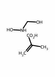 C=C(C)C(=O)O.OCNO